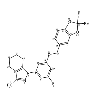 Fc1cc(-n2nc(C(F)(F)F)c3c2CCCC3)cc(OCc2ccc3c(c2)OC(F)(F)O3)n1